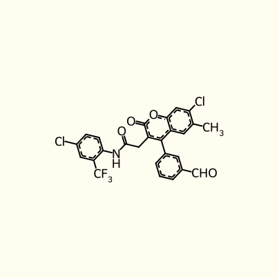 Cc1cc2c(-c3cccc(C=O)c3)c(CC(=O)Nc3ccc(Cl)cc3C(F)(F)F)c(=O)oc2cc1Cl